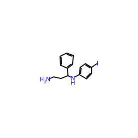 NCCC(Nc1ccc(I)cc1)c1ccccc1